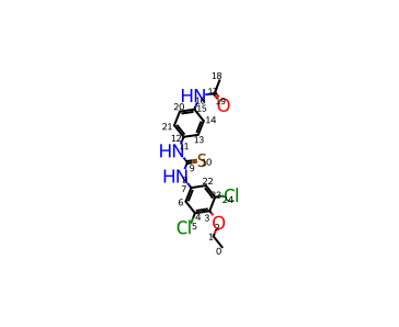 CCOc1c(Cl)cc(NC(=S)Nc2ccc(NC(C)=O)cc2)cc1Cl